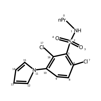 CCCNS(=O)(=O)c1c(Cl)ccc(-n2cccc2)c1Cl